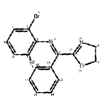 Brc1cccc(Br)c1/N=C(/C1=NCCO1)c1ccccc1